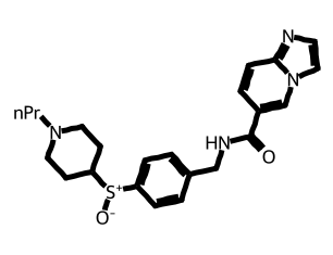 CCCN1CCC([S+]([O-])c2ccc(CNC(=O)c3ccc4nccn4c3)cc2)CC1